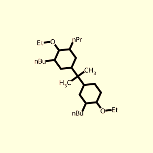 CCCCC1CC(C(C)(C)C2CC(CCC)C(OCC)C(CCCC)C2)CCC1OCC